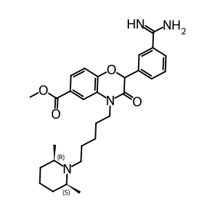 COC(=O)c1ccc2c(c1)N(CCCCCN1[C@H](C)CCC[C@@H]1C)C(=O)C(c1cccc(C(=N)N)c1)O2